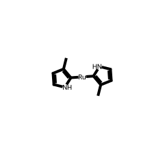 Cc1cc[nH][c]1[Ru][c]1[nH]ccc1C